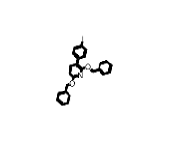 Ic1ccc(-c2ccc(OCc3ccccc3)nc2OCc2ccccc2)cc1